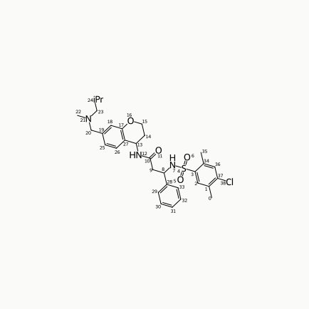 Cc1cc(S(=O)(=O)NC(CC(=O)NC2CCOc3cc(CN(C)CC(C)C)ccc32)c2ccccc2)c(C)cc1Cl